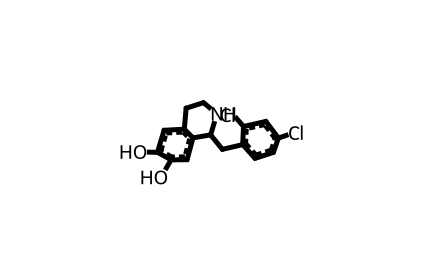 Oc1cc2c(cc1O)C(Cc1ccc(Cl)cc1Cl)NCC2